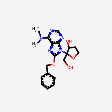 CN(C)c1ncnc2c1nc(OCc1ccccc1)n2C1(CO)OCCC1O